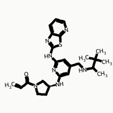 C=CC(=O)N1CC[C@H](Nc2cc(CNC(C)C(C)(C)C)cc(Nc3nc4cccnc4s3)n2)C1